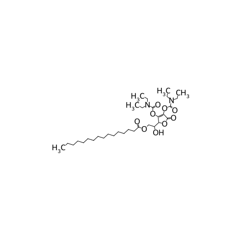 CCCCCCCCCCCCCCCC(=O)OCC(O)C1OC(=O)C(OC(=O)N(CC)CC)=C1OC(=O)N(CC)CC